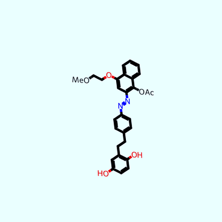 COCCOc1cc(N=Nc2ccc(CCc3cc(O)ccc3O)cc2)c(OC(C)=O)c2ccccc12